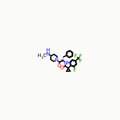 CNC1CCN(C(=O)[C@H](Cc2ccccc2)NC(=O)C2(c3ccc(C(F)(F)F)cc3F)CC2)CC1